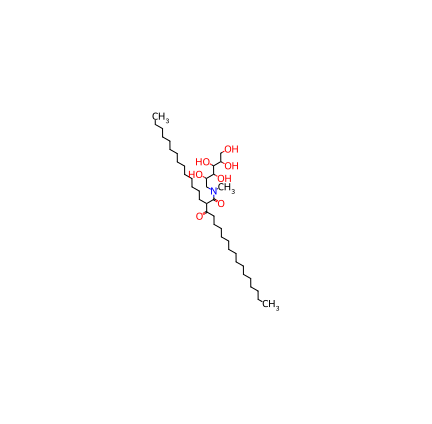 CCCCCCCCCCCCCCCC(=O)C(CCCCCCCCCCCCCC)C(=O)N(C)CC(O)C(O)C(O)C(O)CO